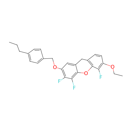 CCCc1ccc(COc2cc3c(c(F)c2F)Oc2c(ccc(OCC)c2F)C3)cc1